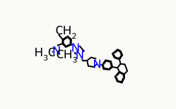 C=Cc1ccc(N2CCN(CC3CCN(c4ccc(C5c6ccccc6CCC5c5ccccc5)cc4)CC3)C2)cc1CN(C)C